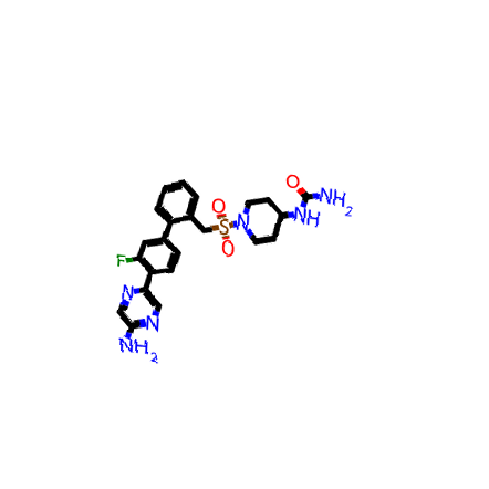 NC(=O)NC1CCN(S(=O)(=O)Cc2ccccc2-c2ccc(-c3cnc(N)cn3)c(F)c2)CC1